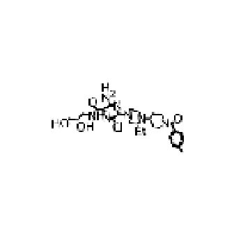 CC[C@H]1CN(c2nc(N)c(C(=O)NC[C@@H](O)CO)nc2Cl)CCN1C1CCN(C(=O)c2ccc(C)cc2)CC1